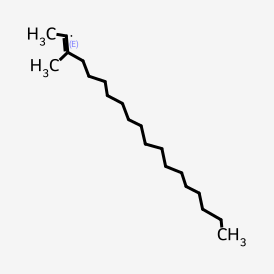 C/[C]=C(\C)CCCCCCCCCCCCCCCC